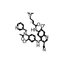 COc1cc2ncc(C#N)c(Nc3ccc(N(Cc4cccnc4)C(C)=O)c(Cl)c3)c2cc1NC(=O)/C=C/CN(C)C